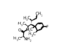 CCC(C)[C@@H]([C@H](C)OC(=O)[C@H](C)N)C1(C)C=CC(F)=CC1C